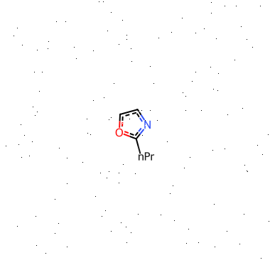 CCCc1ncco1